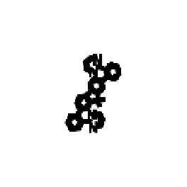 CC1(C)c2cc(-c3ccccc3-c3ncccn3)ccc2-c2ccc(-c3ccccc3-c3ncccn3)cc21